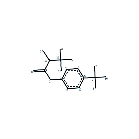 C=C(Cc1ccc(C(C)(C)C)cc1)[C](C)C(C)(C)C